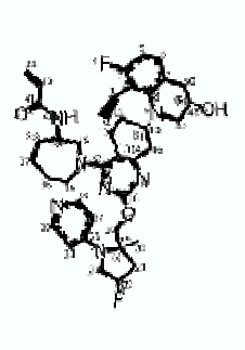 C#Cc1c(F)ccc2c1N([C@H]1CCc3c(nc(OC[C@]4(C)C[C@@H](F)CN4c4ccncc4)nc3N3CCCCC(NC(=O)C=C)C3)C1)C[C@H](O)C2